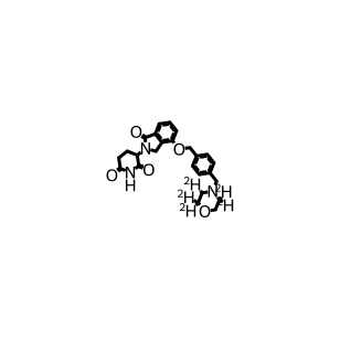 [2H]C1N(Cc2ccc(COc3cccc4c3CN(C3CCC(=O)NC3=O)C4=O)cc2)C([2H])([2H])COC1([2H])[2H]